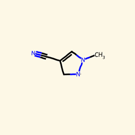 CN1C=C(C#N)C[N]1